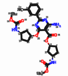 CC(C)(C)OC(=O)N[C@H]1CC[C@@H](OC(=O)c2c(N)nc(-c3cccc(C#N)c3)nc2O[C@@H]2CC[C@H](NC(=O)OC(C)(C)C)C2)C1